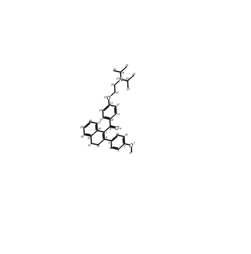 COc1ccc(C2=C(C(=O)c3ccc(OCCN(C(C)C)C(C)C)cc3)c3ccccc3CC2)cc1